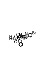 CC(C)(C)C(C(=O)O)C1(C(=O)NCc2nc3cc(Br)ccc3s2)Cc2ccccc2C1